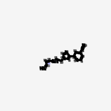 N#Cc1ccnc(-c2cn(CCN/C=C\C=N)cn2)c1